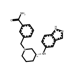 NC(=O)c1cccc(CN2CCC[C@@H](Nc3ccc4[nH]ncc4c3)C2)c1